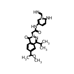 COC(C)c1ccc2c(=O)n(CC(=O)Nc3ccc(=N)n(C=N)c3)nc(C(C)C)c2c1